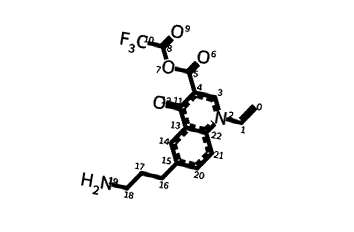 C=Cn1cc(C(=O)OC(=O)C(F)(F)F)c(=O)c2cc(CCCN)ccc21